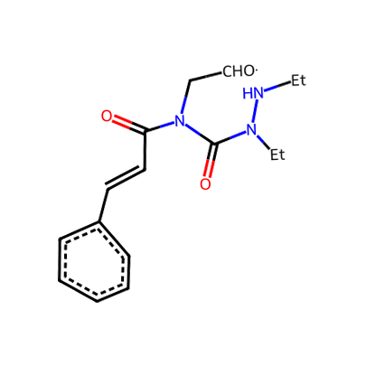 CCNN(CC)C(=O)N(C[C]=O)C(=O)C=Cc1ccccc1